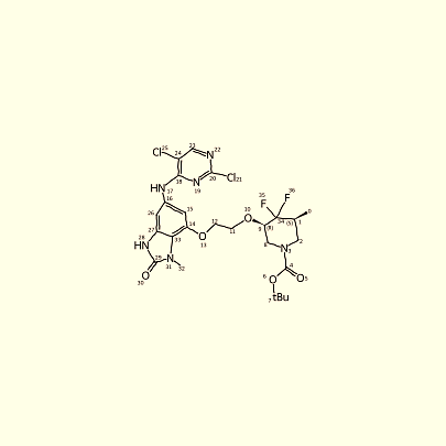 C[C@H]1CN(C(=O)OC(C)(C)C)C[C@@H](OCCOc2cc(Nc3nc(Cl)ncc3Cl)cc3[nH]c(=O)n(C)c23)C1(F)F